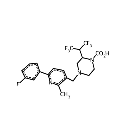 Cc1nc(-c2cccc(F)c2)ccc1CN1CCN(C(=O)O)C(C(C(F)(F)F)C(F)(F)F)C1